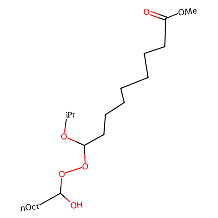 CCCCCCCCC(O)OOC(CCCCCCCC(=O)OC)OC(C)C